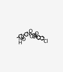 CC1CCN(C2CCN(C(=O)[C@H](O)CS(=O)(=O)c3ccc4cc(Cl)ccc4c3)CC2)C(=O)N1